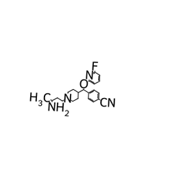 CC(N)CCN1CCC(C(Oc2cccc(F)n2)c2ccc(C#N)cc2)CC1